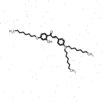 CCCCCCCCOc1ccc(C(=O)/C=C/c2ccc(N(CCCCCCCC)CCCCCCCC)cc2)c(O)c1